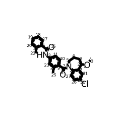 [CH2]OC1CCCN(C(=O)c2ccc(NC(=O)c3ccccc3C)cc2C)c2ccc(Cl)cc21